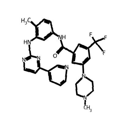 Cc1ccc(NC(=O)c2cc(N3CCN(C)CC3)cc(C(F)(F)F)c2)cc1Nc1nccc(-c2cccnc2)n1